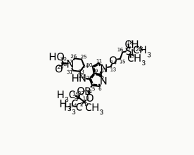 CC1(C)OB(c2cnc3c(ccn3COCC[Si](C)(C)C)c2N[C@@H]2CCCN(C(=O)O)C2)OC1(C)C